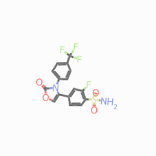 NS(=O)(=O)c1ccc(-c2coc(=O)n2-c2ccc(C(F)(F)F)cc2)cc1F